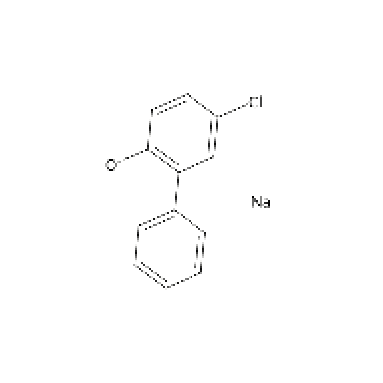 [Na+].[O-]c1ccc(Cl)cc1-c1ccccc1